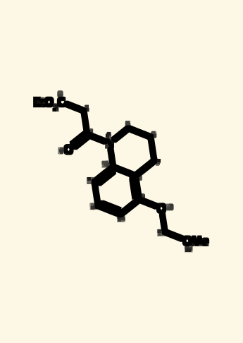 CCOC(=O)CC(=O)N1CCCc2c(OCOC)cccc21